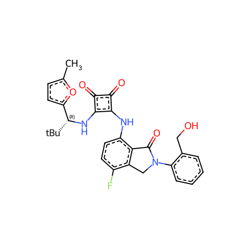 Cc1ccc([C@H](Nc2c(Nc3ccc(F)c4c3C(=O)N(c3ccccc3CO)C4)c(=O)c2=O)C(C)(C)C)o1